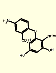 CC(=O)Nc1c(O)cc(O)cc1Oc1ccc(N)cc1C(=O)O